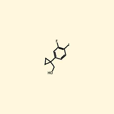 OCC1(c2ccc(I)c(F)c2)CC1